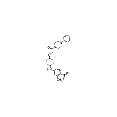 Cc1cc(NC2CCC(OCC(=O)N3CCN(c4ccccc4)CC3)CC2)cnc1[N+](=O)[O-]